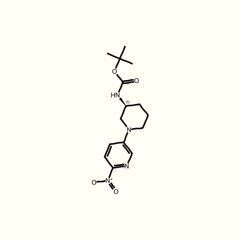 CC(C)(C)OC(=O)N[C@H]1CCCN(c2ccc([N+](=O)[O-])nc2)C1